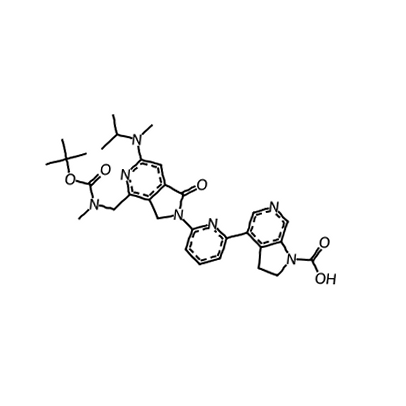 CC(C)N(C)c1cc2c(c(CN(C)C(=O)OC(C)(C)C)n1)CN(c1cccc(-c3cncc4c3CCN4C(=O)O)n1)C2=O